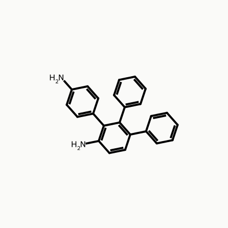 Nc1ccc(-c2c(N)ccc(-c3ccccc3)c2-c2ccccc2)cc1